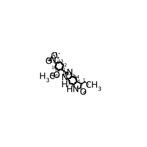 CCC1C(=O)Nc2cc3[nH]c(-c4ccc([N+](=O)[O-])cc4OC)nc3cc21